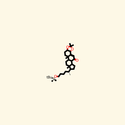 C[C@H](CCCCO[Si](C)(C)C(C)(C)C)C1CCC2C3C(=O)C=C4C5OC(C)(C)OC5CCC4(C)C3CCC21C